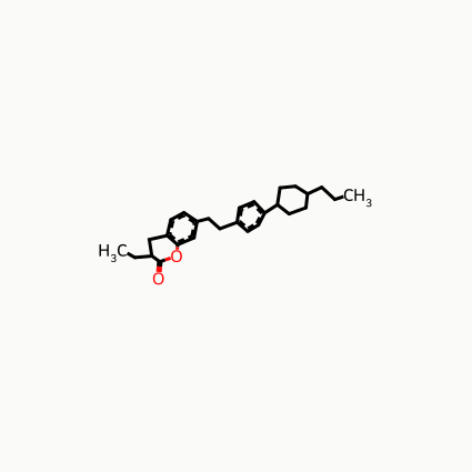 CCCC1CCC(c2ccc(CCc3ccc4c(c3)OC(=O)C(CC)C4)cc2)CC1